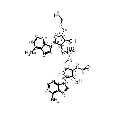 Nc1ncnc2c1ncn2[C@@H]1O[C@H](CO[PH](=O)O[C@@H]2[C@H](O)[C@@H](COCS)O[C@H]2n2cnc3c(N)ncnc32)[C@@H](OP=O)[C@H]1O